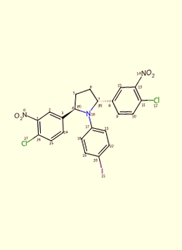 O=[N+]([O-])c1cc([C@H]2CC[C@H](c3ccc(Cl)c([N+](=O)[O-])c3)N2c2ccc(I)cc2)ccc1Cl